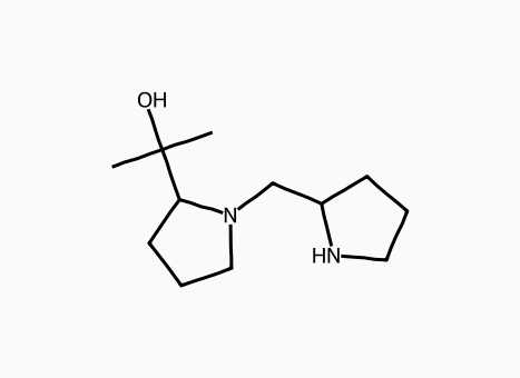 CC(C)(O)C1CCCN1CC1CCCN1